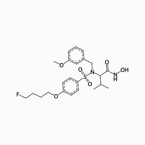 COc1cccc(CN(C(C(=O)NO)C(C)C)S(=O)(=O)c2ccc(OCCCCF)cc2)c1